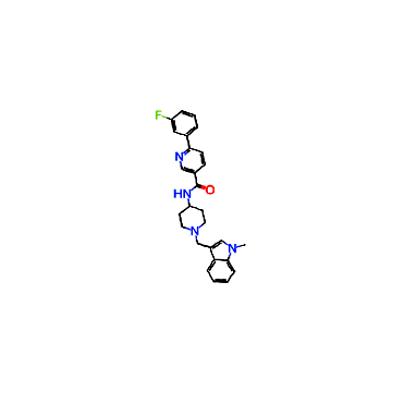 Cn1cc(CN2CCC(NC(=O)c3ccc(-c4cccc(F)c4)nc3)CC2)c2ccccc21